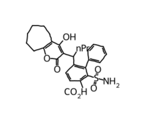 CCCC(c1ccc(C(=O)O)c(S(N)(=O)=O)c1-c1ccccc1)c1c(O)c2c(oc1=O)CCCCCC2